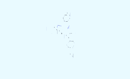 N=C/C(=C\N)c1c(F)cncc1/C=C/C(=O)Nc1ccc(CN2CC(F)C2)cc1